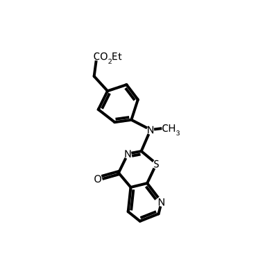 CCOC(=O)Cc1ccc(N(C)c2nc(=O)c3cccnc3s2)cc1